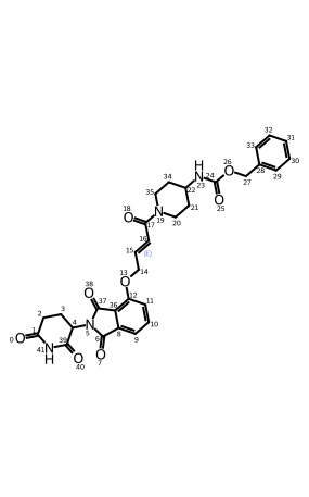 O=C1CCC(N2C(=O)c3cccc(OC/C=C/C(=O)N4CCC(NC(=O)OCc5ccccc5)CC4)c3C2=O)C(=O)N1